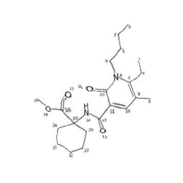 CCCCn1c(CC)c(C)cc(C(=O)NC2(C(=O)OC)CCCCC2)c1=O